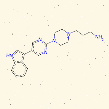 NCCCN1CCN(c2ncc(-c3c[nH]c4ccccc34)cn2)CC1